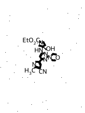 CCOC(=O)N1CC[C@](CO)(Nc2cc(-c3cnc(C)c(C#N)c3)nc(N3CCOCC3)n2)C1